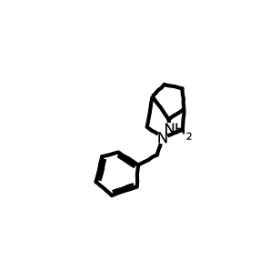 NC1C2CCC1CN(Cc1ccccc1)C2